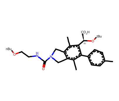 CCCCOCCNC(=O)N1Cc2c(C)c(-c3ccc(C)cc3)c([C@H](OC(C)(C)C)C(=O)O)c(C)c2C1